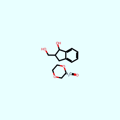 C1COCCO1.C=O.OCC1Cc2ccccc2C1O